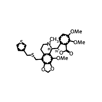 COc1ccc2c(c1OC)C(=O)O[C@@H]2[C@H]1c2c(c(CSCc3ccsc3)c3c(c2OC)OCO3)CCN1C